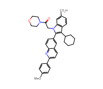 COc1ccc(-c2ccc3cc(-c4c(C5CCCCC5)c5ccc(C(=O)O)cc5n4CC(=O)N4CCOCC4)ccc3n2)cc1